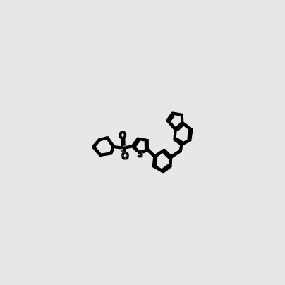 O=S(=O)(c1ccc(-c2cccc(Cc3ccc4c(c3)C=CC4)c2)s1)C1CCCCC1